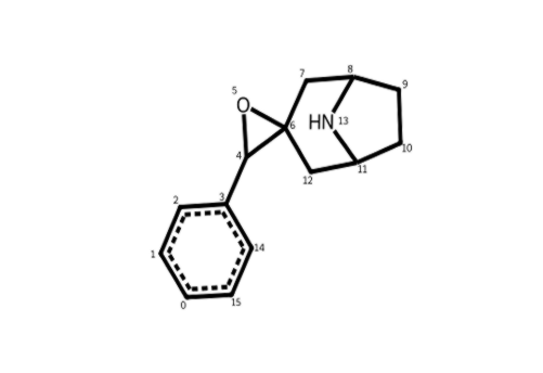 c1ccc(C2OC23CC2CCC(C3)N2)cc1